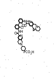 C[C@@H]1CCCCN1Cc1cnc(C(=O)Nc2cccc(-c3cccc(NC(=O)c4cc5c(cn4)CN([C@H]4CC[C@](C)(C(=O)O)CC4)CC5)c3Cl)c2Cl)cc1C1CC1